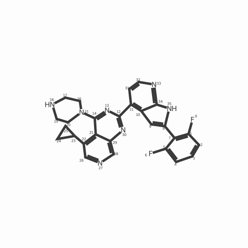 Fc1cccc(F)c1-c1cc2c(-c3nc(N4CCNCC4)c4c(C5CC5)cncc4n3)ccnc2[nH]1